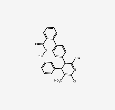 CCCCC1=NC(Cl)=C(C(=O)O)C(c2ccccc2)N1c1ccc(-c2ccccc2C(=O)OC(C)(C)C)cc1